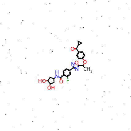 CC(Oc1ccc(C(=O)C2CC2)cc1)c1nc(-c2ccc(C(=O)NC3CC(O)C(O)C3)c(F)c2)no1